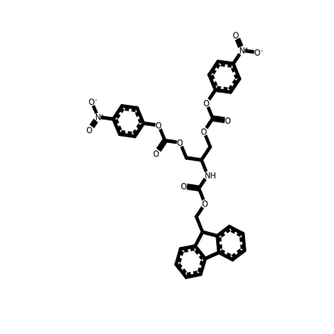 O=C(NC(COC(=O)Oc1ccc([N+](=O)[O-])cc1)COC(=O)Oc1ccc([N+](=O)[O-])cc1)OCC1c2ccccc2-c2ccccc21